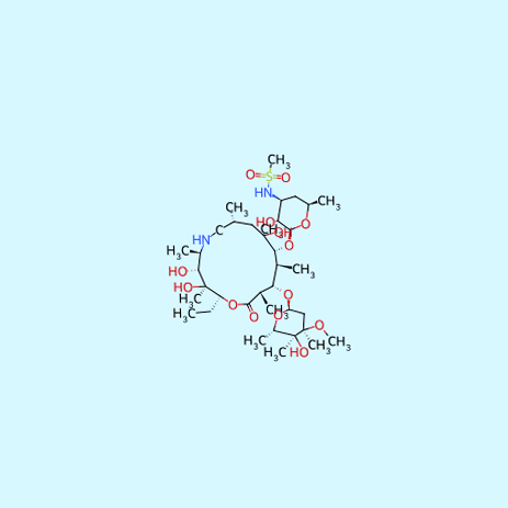 CC[C@H]1OC(=O)[C@H](C)[C@@H](O[C@H]2C[C@@](C)(OC)[C@@](C)(O)[C@H](C)O2)[C@H](C)[C@@H](O[C@@H]2O[C@H](C)C[C@H](NS(C)(=O)=O)[C@H]2O)[C@](C)(O)C[C@@H](C)CN[C@H](C)[C@@H](O)[C@]1(C)O